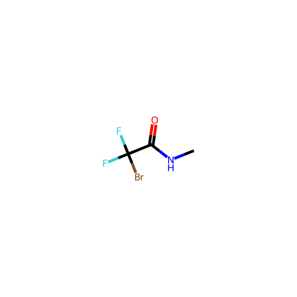 CNC(=O)C(F)(F)Br